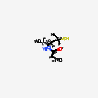 CC(C)(S)[C@H](NC(=O)CN=O)C(=O)O